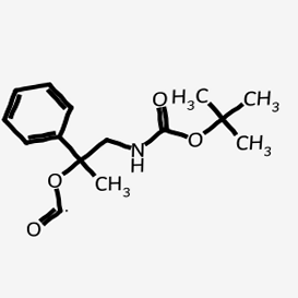 CC(C)(C)OC(=O)NCC(C)(O[C]=O)c1ccccc1